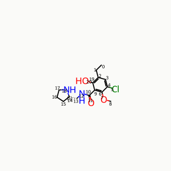 CCc1cc(Cl)c(OC)c(C(=O)NC[C@@H]2CCCN2)c1O